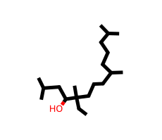 CCC(C)(CCCC(C)CCCC(C)C)C(O)CC(C)C